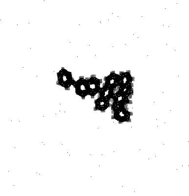 c1ccc(-c2ccc3cc(-c4c5ccccc5c(-c5c6sc7ccccc7c6cc6sc7ccccc7c56)c5ccccc45)ccc3c2)cc1